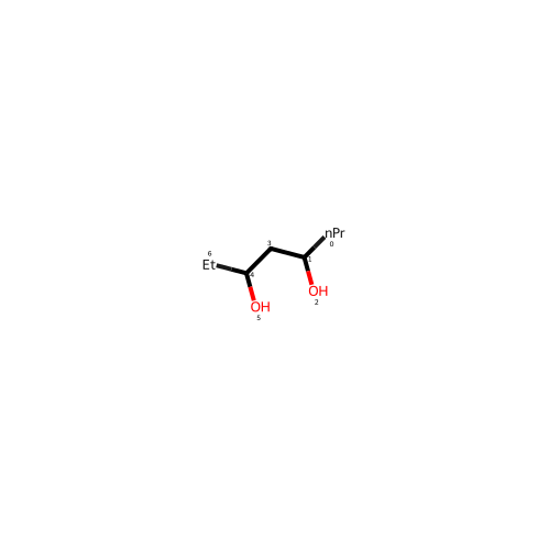 CCCC(O)CC(O)CC